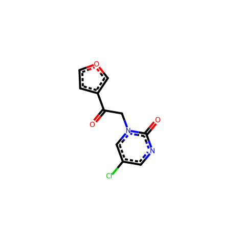 O=C(Cn1cc(Cl)cnc1=O)c1ccoc1